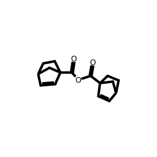 O=C(OC(=O)C12C=CC(CC1)C2)C12C=CC(CC1)C2